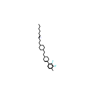 CCCCC/C=C/CCC1CCC(CCC2CC=C(c3ccc(C)c(F)c3F)CC2)CC1